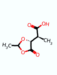 CC1OC(=O)[C@@H]([C@H](C)C(=O)O)O1